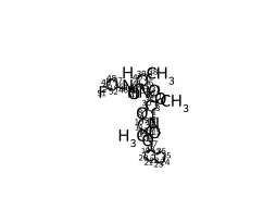 COc1cc(C#N)c(OC2CCC(C)(C(=O)OCc3cccc4ccccc34)CC2)cc1C(=O)Nc1cc(C)ccc1C(=O)NCc1cccc(F)c1